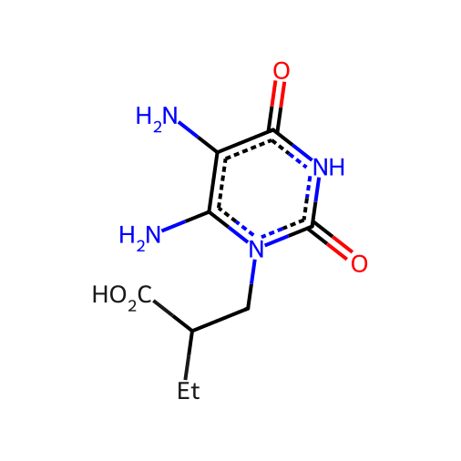 CCC(Cn1c(N)c(N)c(=O)[nH]c1=O)C(=O)O